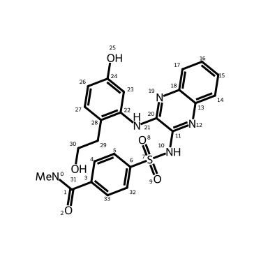 CNC(=O)c1ccc(S(=O)(=O)Nc2nc3ccccc3nc2Nc2cc(O)ccc2CCO)cc1